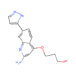 Nc1cc(OCCCO)c2ccc(-c3ccn[nH]3)cc2n1